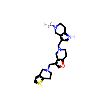 CN1CCc2[nH]cc(CN3CCc4occ(CN5CCc6sccc6C5)c4C3)c2C1